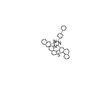 c1ccc(-c2ccc(-c3nc(-c4ccc5ccccc5c4)nc(-c4cc5ccc6ccccc6c5c5sc6ccc7ccccc7c6c45)n3)cc2)cc1